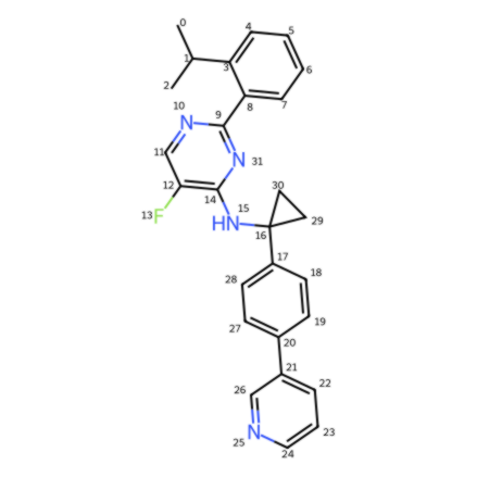 CC(C)c1ccccc1-c1ncc(F)c(NC2(c3ccc(-c4cccnc4)cc3)CC2)n1